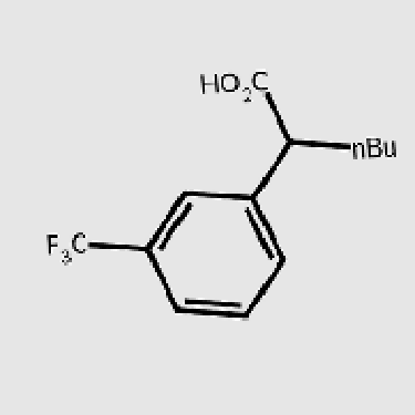 CCCCC(C(=O)O)c1cccc(C(F)(F)F)c1